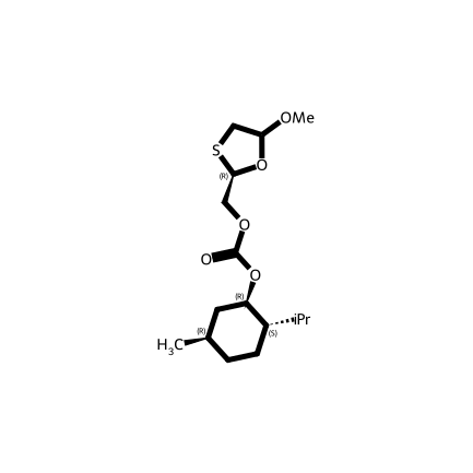 COC1CS[C@H](COC(=O)O[C@@H]2C[C@H](C)CC[C@H]2C(C)C)O1